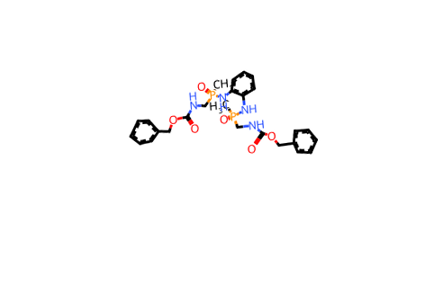 CP(=O)(CNC(=O)OCc1ccccc1)Nc1ccccc1NP(C)(=O)CNC(=O)OCc1ccccc1